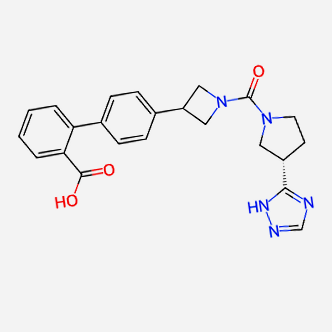 O=C(O)c1ccccc1-c1ccc(C2CN(C(=O)N3CC[C@H](c4ncn[nH]4)C3)C2)cc1